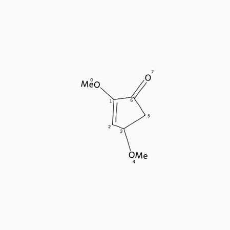 COC1=CC(OC)CC1=O